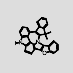 CC1(C)c2ccccc2-c2c1n1c3c4ccccc4oc3c3ccc4c(c5c2cccc5n4I)c31